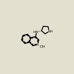 Cl.c1ccc2c(N[C@@H]3CCNC3)cncc2c1